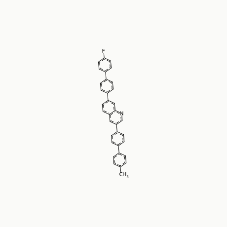 Cc1ccc(-c2ccc(-c3cnc4cc(-c5ccc(-c6ccc(F)cc6)cc5)ccc4c3)cc2)cc1